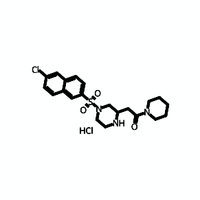 Cl.O=C(CC1CN(S(=O)(=O)c2ccc3cc(Cl)ccc3c2)CCN1)N1CCCCC1